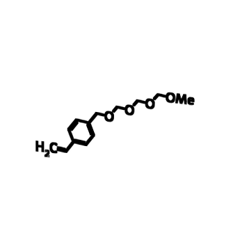 C=Cc1ccc(COCOCOCOC)cc1